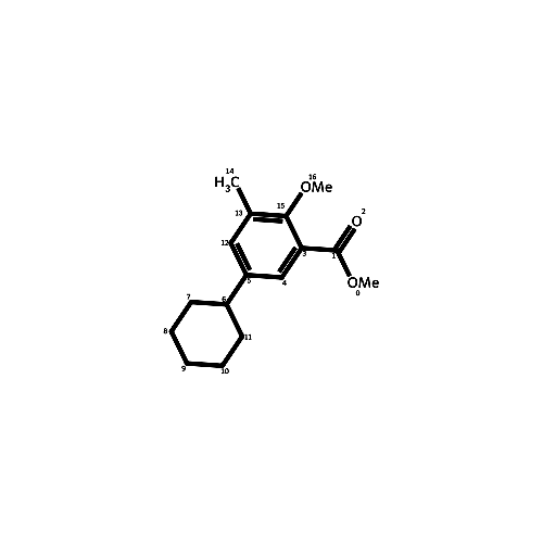 COC(=O)c1cc(C2CCCCC2)cc(C)c1OC